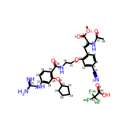 COC(=O)C(=Cc1ccc(C#N)cc1OCCNC(=O)c1ccc(NC(=N)N)cc1OC1CCCC1)NC(C)=O.O=C(O)C(F)(F)F